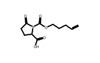 C=CCCCOC(=O)N1C(=O)CCC1C(=O)O